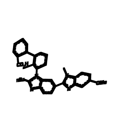 CCCCc1nc2ccc(-c3nc4cc(OC)ccc4n3C)cc2n1-c1cccc(-c2ccccc2C(=O)O)c1C